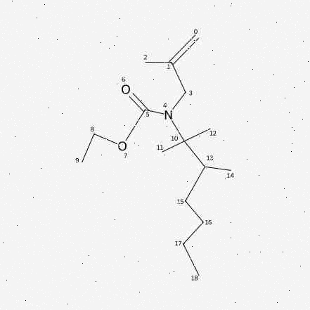 C=C(C)CN(C(=O)OCC)C(C)(C)C(C)CCCC